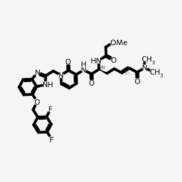 COCC(=O)N[C@@H](CC/C=C/C(=O)N(C)C)C(=O)Nc1cccn(Cc2nc3cccc(OCc4ccc(F)cc4F)c3[nH]2)c1=O